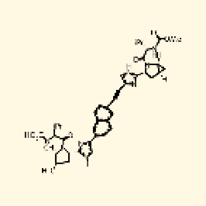 COC(=O)N[C@H](C(=O)N1[C@@H]2C[C@H]2C[C@H]1c1nc(C#Cc2ccc3cc(-c4c[nH]c([C@@H]5C[C@H](C)CN5C(=O)[C@H](C(C)C)N(C)C(=O)O)n4)ccc3c2)c[nH]1)C(C)C